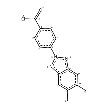 Cc1cc2nn(-c3ccc(C(=O)Cl)cc3)nc2cc1C